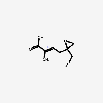 CCC1(C/C=C(\C)C(=O)O)CO1